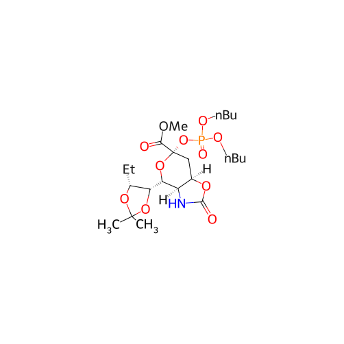 CCCCOP(=O)(OCCCC)O[C@]1(C(=O)OC)C[C@H]2OC(=O)N[C@H]2C([C@@H]2OC(C)(C)O[C@@H]2CC)O1